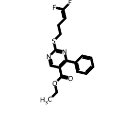 CCOC(=O)c1cnc(SCCC=C(F)F)nc1-c1ccccc1